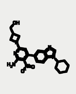 Nc1nc(N2CC(CO)C2)cc(-c2ccc3c(c2)ncn3C2CCCCC2)c1[N+](=O)[O-]